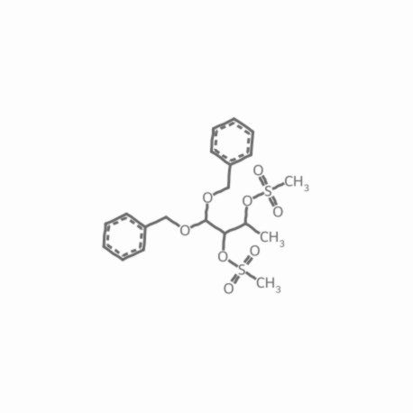 CC(OS(C)(=O)=O)C(OS(C)(=O)=O)C(OCc1ccccc1)OCc1ccccc1